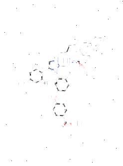 CCC=CCn1cc(-c2ccc(Cl)cc2Cl)nc1[C@H](Cc1ccc(Oc2ccc(C(=O)O)cc2)cc1)NC(=O)[C@H]1CC[C@H](CC)CC1